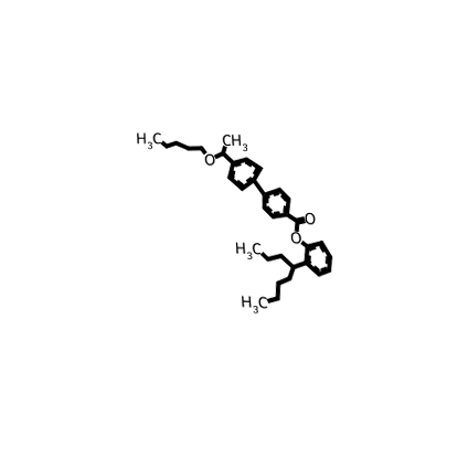 CCCCCOC(C)c1ccc(-c2ccc(C(=O)Oc3ccccc3C(CCC)CCCC)cc2)cc1